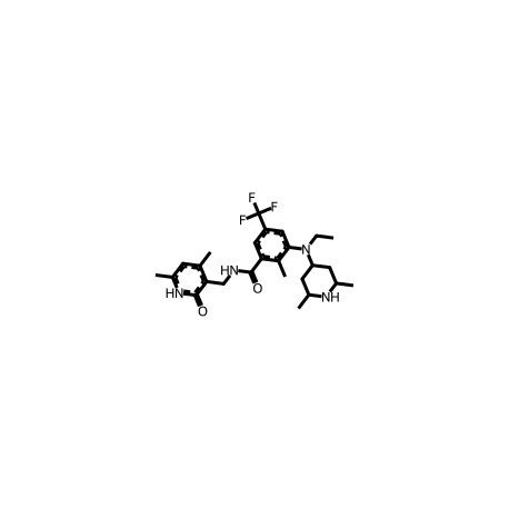 CCN(c1cc(C(F)(F)F)cc(C(=O)NCc2c(C)cc(C)[nH]c2=O)c1C)C1CC(C)NC(C)C1